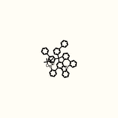 CC1(C)OB(c2ccccc2-c2cc3c4c5c2c2ccccc2n5-c2ccccc2-c2cccc(c2-4)C3(c2cccc(-c3ccccc3)c2)c2cccc(-c3ccccc3)c2)OC1(C)C